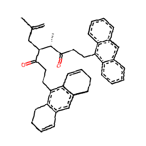 C=C(C)CC(C(=O)CCc1c2c(cc3c1CCC=C3)CCC=C2)[C@H](C)C(=O)CCc1c2ccccc2cc2ccccc12